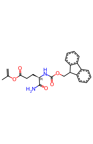 C=C(C)OC(=O)CC[C@@H](NC(=O)OCC1c2ccccc2-c2ccccc21)C(N)=O